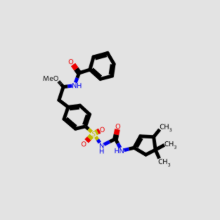 COC(Cc1ccc(S(=O)(=O)NC(=O)NC2=CC(C)C(C)(C)C2)cc1)NC(=O)c1ccccc1